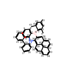 Cc1cc(C)c(B2c3ccccc3N(c3ccccc3-c3ccccc3)c3c2cc2ccc4cccc5ccc3c2c45)c(C)c1